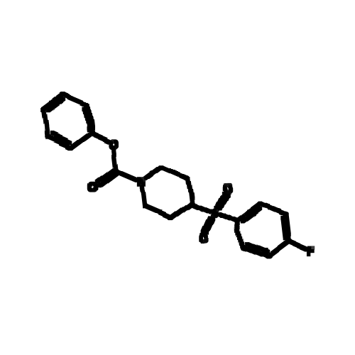 O=C(Oc1ccccc1)N1CCC(S(=O)(=O)c2ccc(F)cc2)CC1